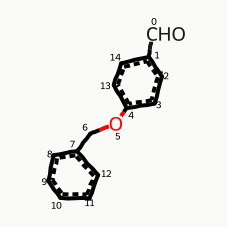 O=Cc1[c]cc(OCc2ccccc2)cc1